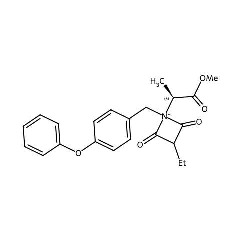 CCC1C(=O)[N+](Cc2ccc(Oc3ccccc3)cc2)([C@@H](C)C(=O)OC)C1=O